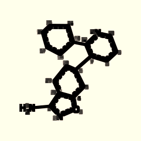 Nc1noc2cc(-c3cccnc3-c3ccccc3)ccc12